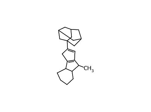 CC1C2=C(CC(C34CC5CC(CC(C5)C3)C4)=C2)C2CCCCC12